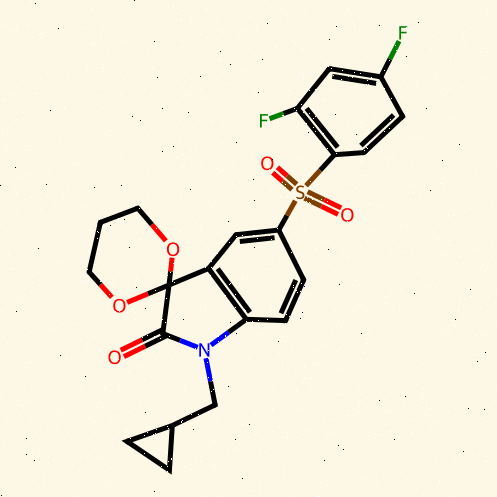 O=C1N(CC2CC2)c2ccc(S(=O)(=O)c3ccc(F)cc3F)cc2C12OCCCO2